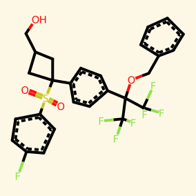 O=S(=O)(c1ccc(F)cc1)C1(c2ccc(C(OCc3ccccc3)(C(F)(F)F)C(F)(F)F)cc2)CC(CO)C1